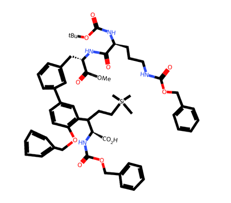 COC(=O)[C@H](Cc1cccc(-c2ccc(OCc3ccccc3)c(C(CC[Si](C)(C)C)[C@H](NC(=O)OCc3ccccc3)C(=O)O)c2)c1)NC(=O)[C@H](CCCNC(=O)OCc1ccccc1)NC(=O)OC(C)(C)C